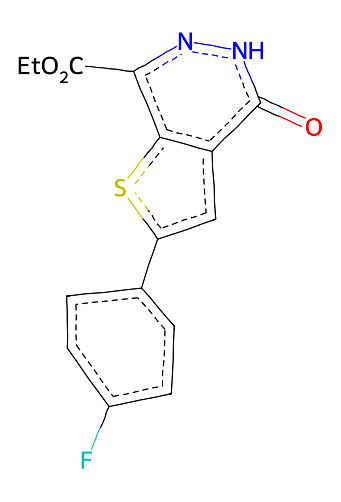 CCOC(=O)c1n[nH]c(=O)c2cc(-c3ccc(F)cc3)sc12